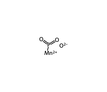 O=[P](=O)[Mn+2].[O-2]